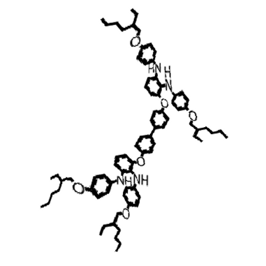 CCCCC(CC)COc1ccc(Nc2cccc(Oc3ccc(-c4ccc(Oc5cccc(Nc6ccc(OCC(CC)CCCC)cc6)c5Nc5ccc(OCC(CC)CCCC)cc5)cc4)cc3)c2Nc2ccc(OCC(CC)CCCC)cc2)cc1